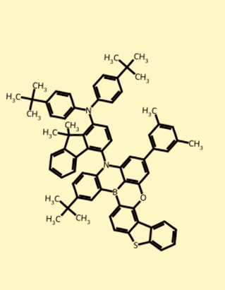 Cc1cc(C)cc(-c2cc3c4c(c2)N(c2ccc(N(c5ccc(C(C)(C)C)cc5)c5ccc(C(C)(C)C)cc5)c5c2-c2ccccc2C5(C)C)c2ccc(C(C)(C)C)cc2B4c2ccc4sc5ccccc5c4c2O3)c1